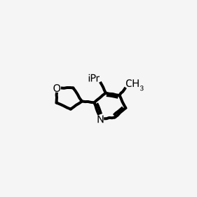 Cc1ccnc(C2CCOC2)c1C(C)C